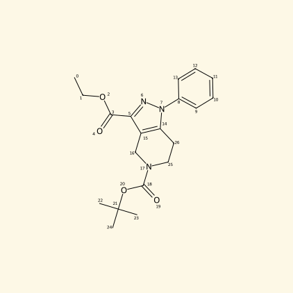 CCOC(=O)c1nn(-c2ccccc2)c2c1CN(C(=O)OC(C)(C)C)CC2